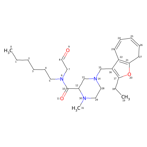 CCCCCCN(CC=O)C(=O)C1CN(Cc2c(CC)oc3c2C=CC=CC3)CCN1C